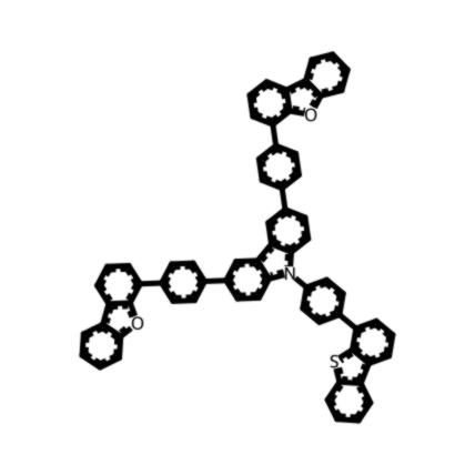 c1ccc2c(c1)oc1c(-c3ccc(-c4ccc5c(c4)c4cc(-c6ccc(-c7cccc8c7oc7ccccc78)cc6)ccc4n5-c4ccc(-c5cccc6c5sc5ccccc56)cc4)cc3)cccc12